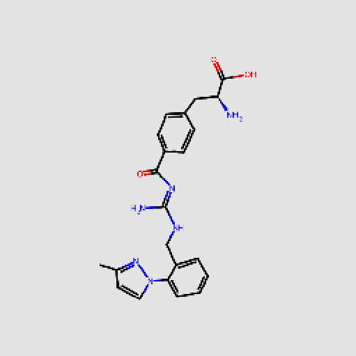 Cc1ccn(-c2ccccc2CN/C(N)=N/C(=O)c2ccc(C[C@H](N)C(=O)O)cc2)n1